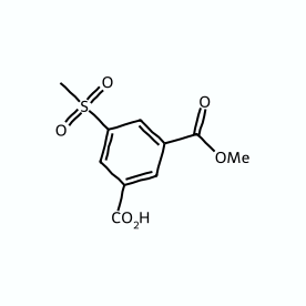 COC(=O)c1cc(C(=O)O)cc(S(C)(=O)=O)c1